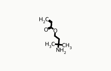 C=CC(=O)OCCC(C)(C)N